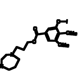 COc1cc(C(=O)OCCCN2CCCNCC2)cc(OI)c1OC